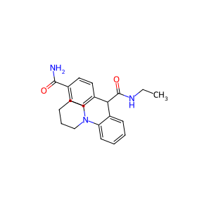 CCNC(=O)C(c1ccc(C(N)=O)cc1)c1ccccc1N1CCCCC1